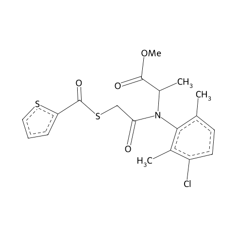 COC(=O)C(C)N(C(=O)CSC(=O)c1cccs1)c1c(C)ccc(Cl)c1C